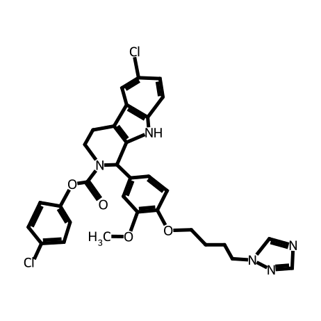 COc1cc(C2c3[nH]c4ccc(Cl)cc4c3CCN2C(=O)Oc2ccc(Cl)cc2)ccc1OCCCCn1cncn1